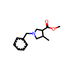 COC(=O)C1CN(Cc2ccccc2)CC1C